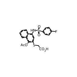 CC(=O)Oc1c(SCC(=O)O)cc(NS(=O)(=O)c2ccc(F)cc2)c2ccccc12